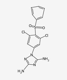 Nc1nc(N)n(-c2cc(Cl)c(S(=O)(=O)c3ccccc3)c(Cl)c2)n1